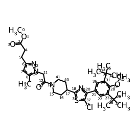 COC(=O)CCc1cc(C)n(CC(=O)N2CCC(c3nc(-c4cc(C(C)(C)C)c(OC)c(C(C)(C)C)c4)c(Cl)s3)CC2)n1